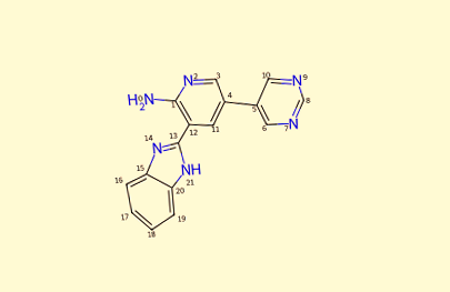 Nc1ncc(-c2cncnc2)cc1-c1nc2ccccc2[nH]1